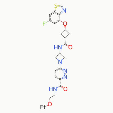 CCOCCNC(=O)c1ccc(N2CC(NC(=O)[C@H]3C[C@H](Oc4cc(F)cc5scnc45)C3)C2)nn1